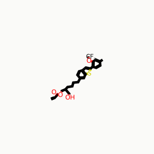 C=CC(=O)OCC(CO)CCCCc1ccc2cc(-c3ccc(C)cc3OC(F)(F)F)sc2c1